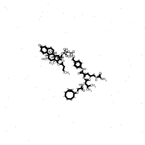 CCCC1O[C@@H]2C[C@H]3[C@@H]4CCC5=CC(=O)C=C[C@]5(C)[C@H]4[C@@H](O)C[C@]3(C)[C@]2(C(=O)COP(=O)(O)OP(=O)(O)OCc2ccc(NC(=O)/C(CCCNC(N)=O)=N/C(=O)[C@@H](NC(=O)COC3C#CCCCCC3)C(C)C)cc2)O1